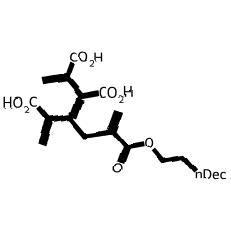 C=C(CC(C(=C)C(=O)O)=C(C(=C)C(=O)O)C(=O)O)C(=O)OCCCCCCCCCCCC